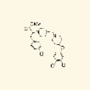 COC(=O)C(Cc1ccc(Cl)cc1)N1CCC(CN2CCC(Oc3ccc(Cl)c(Cl)c3)CC2)CC1